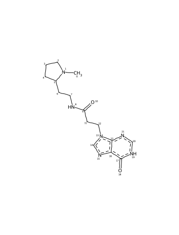 CN1CCCC1CCNC(=O)CCn1cnc2c(=O)[nH]cnc21